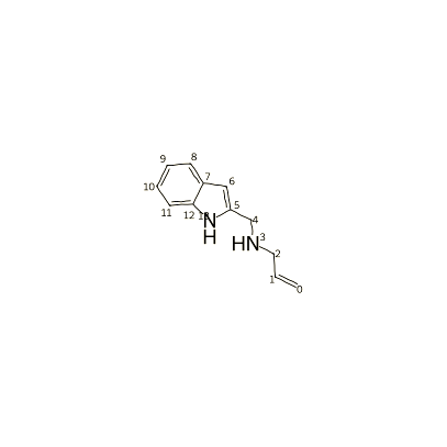 C=CCNCc1cc2ccccc2[nH]1